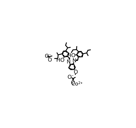 CC(=O)[O-].CC(=O)[O-].CCC(C)c1cc(C=Nc2ccc(OC)cc2N=Cc2cc(C(C)CC)cc(C(C)CC)c2O)c(O)c(C(C)CC)c1.[Co+2]